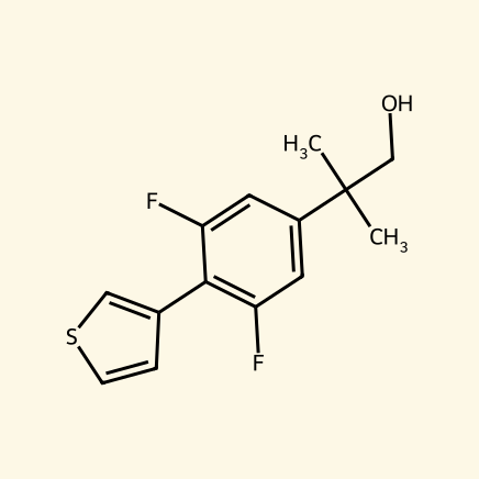 CC(C)(CO)c1cc(F)c(-c2ccsc2)c(F)c1